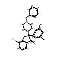 Cc1cc(C)cc(C2(N3CCN(Cc4ccccc4)CC3)Cc3c(F)cccc3C2=O)c1